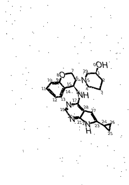 O[C@H]1CCCN([C@H]2COc3ccccc3[C@@H]2Nc2ncnc3[nH]c(C4CC4)cc23)C1